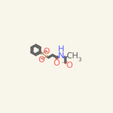 C[C@@H]([C]=O)NC(=O)CCS(=O)(=O)c1ccccc1